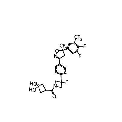 O=C(C1CS(O)(O)C1)N1CC(F)(c2ccc(C3=NOC(c4cc(F)c(F)c(C(F)(F)F)c4)(C(F)(F)F)C3)cc2)C1